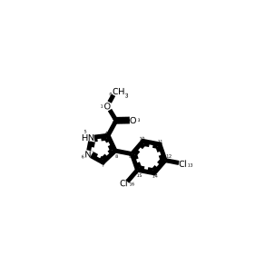 COC(=O)c1[nH]ncc1-c1ccc(Cl)cc1Cl